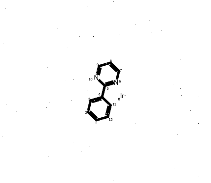 [Ir].c1ccc(-c2ncccn2)cc1